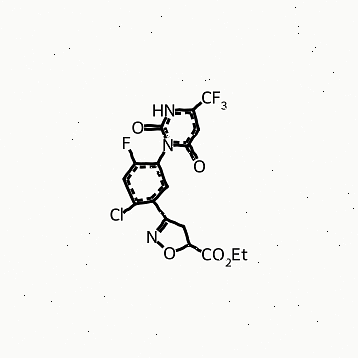 CCOC(=O)C1CC(c2cc(-n3c(=O)cc(C(F)(F)F)[nH]c3=O)c(F)cc2Cl)=NO1